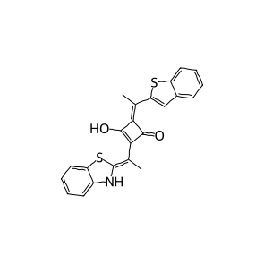 C/C(C1=C(O)/C(=C(\C)c2cc3ccccc3s2)C1=O)=C1\Nc2ccccc2S1